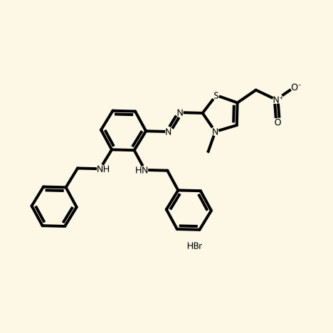 Br.CN1C=C(C[N+](=O)[O-])SC1N=Nc1cccc(NCc2ccccc2)c1NCc1ccccc1